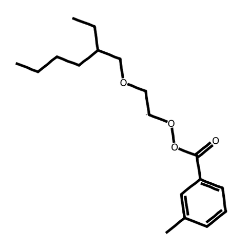 CCCCC(CC)COC[CH]OOC(=O)c1cccc(C)c1